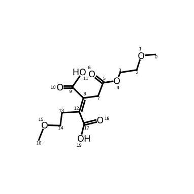 COCCOC(=O)C/C(C(=O)O)=C(/CCOC)C(=O)O